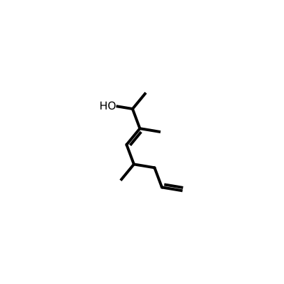 C=CCC(C)/C=C(\C)C(C)O